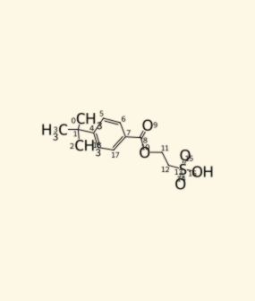 CC(C)(C)c1ccc(C(=O)OCCS(=O)(=O)O)cc1